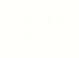 C1=CC2c3ccc4c5cccc6c7ccc8c9c7n(c4c3B9C2C8=C1c1ccccc1)c65